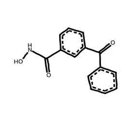 O=C(NO)c1cccc(C(=O)c2ccccc2)c1